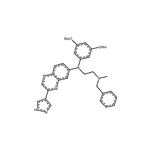 COc1cc(OC)cc(N(CCN(C)Cc2ccccc2)c2ccc3ncc(-c4cn[nH]c4)nc3c2)c1